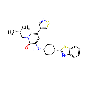 CC(C)Cn1cc(-c2cnsc2)cc(N[C@H]2CC[C@@H](c3nc4ccccc4s3)CC2)c1=O